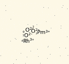 [O-2].[O-2].[O-2].[Pm+3].[Rh+3]